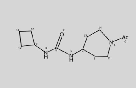 CC(=O)N1CCC(NC(=O)NC2CCC2)CC1